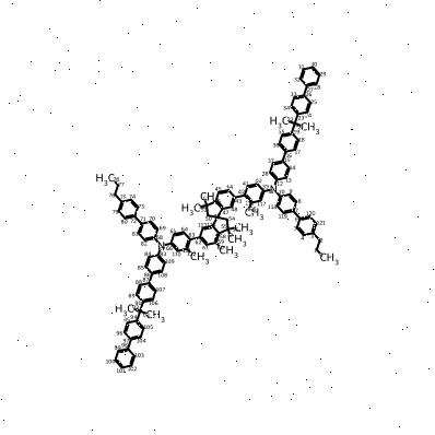 CCCc1ccc(-c2ccc(N(c3ccc(-c4ccc(C(C)(C)c5ccc(-c6ccccc6)cc5)cc4)cc3)c3ccc(-c4ccc5c(c4)C4(CC5(C)C)CC(C)(C)c5c(C)cc(-c6ccc(N(c7ccc(-c8ccc(CCC)cc8)cc7)c7ccc(-c8ccc(C(C)(C)c9ccc(-c%10ccccc%10)cc9)cc8)cc7)cc6C)cc54)c(C)c3)cc2)cc1